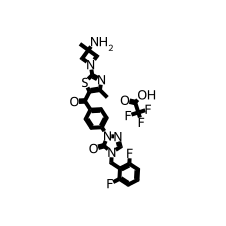 Cc1nc(N2CC(C)(N)C2)sc1C(=O)c1ccc(-n2ncn(Cc3c(F)cccc3F)c2=O)cc1.O=C(O)C(F)(F)F